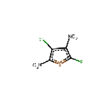 O=[N+]([O-])c1sc(F)c([N+](=O)[O-])c1Cl